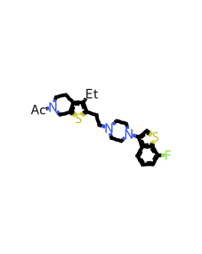 CCc1c(CCN2CCN(c3csc4c(F)cccc34)CC2)sc2c1CCN(C(C)=O)C2